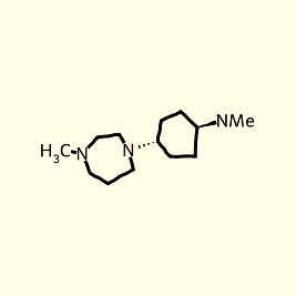 CN[C@H]1CC[C@H](N2CCCN(C)CC2)CC1